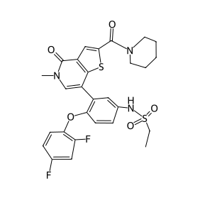 CCS(=O)(=O)Nc1ccc(Oc2ccc(F)cc2F)c(-c2cn(C)c(=O)c3cc(C(=O)N4CCCCC4)sc23)c1